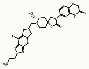 Cl.Cl.NCCn1nc2cc3c(c(F)c2n1)CC(CN1CCC2(CC1)CN(c1ccc4c(n1)NC(=O)CO4)C(=O)O2)C3